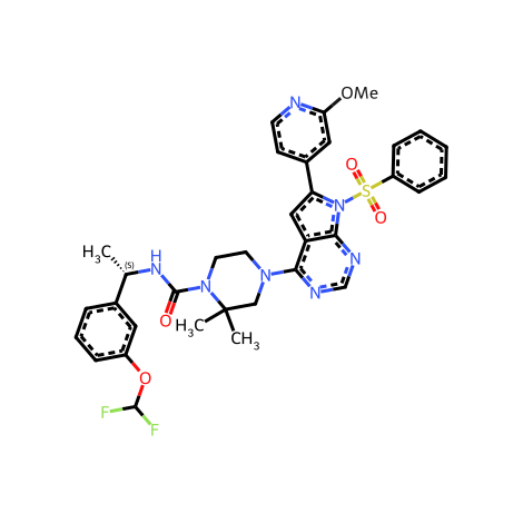 COc1cc(-c2cc3c(N4CCN(C(=O)N[C@@H](C)c5cccc(OC(F)F)c5)C(C)(C)C4)ncnc3n2S(=O)(=O)c2ccccc2)ccn1